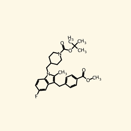 COC(=O)c1ccc(Cc2c(C)n(CC3CCN(C(=O)OC(C)(C)C)CC3)c3ccc(F)cc23)cc1